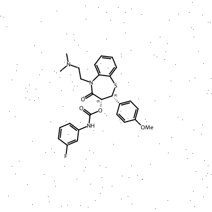 COc1ccc([C@H]2Sc3ccccc3N(CCN(C)C)C(=O)[C@H]2OC(=O)Nc2cccc(F)c2)cc1